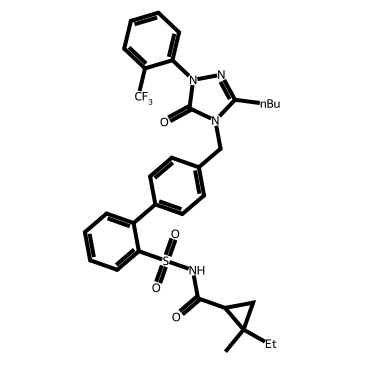 CCCCc1nn(-c2ccccc2C(F)(F)F)c(=O)n1Cc1ccc(-c2ccccc2S(=O)(=O)NC(=O)C2CC2(C)CC)cc1